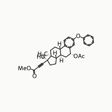 COC(=O)C#C[C@]1(O)CC[C@H]2[C@@H]3C[C@@H](OC(C)=O)c4cc(Oc5ccccc5)ccc4[C@H]3CC[C@@]21C